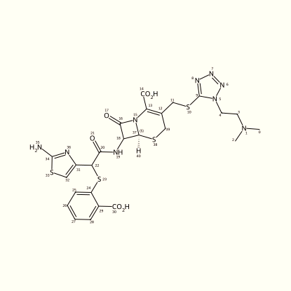 CN(C)CCn1nnnc1SCC1=C(C(=O)O)N2C(=O)C(NC(=O)C(Sc3ccccc3C(=O)O)c3csc(N)n3)[C@@H]2SC1